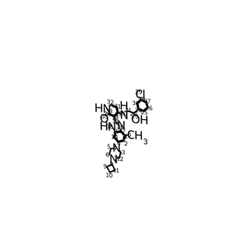 Cc1cc(N2CCN(C3CCC3)CC2)cc2[nH]c(-c3c(NCC(O)c4cccc(Cl)c4)cc[nH]c3=O)nc12